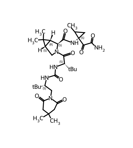 CC1C[C@@]1(NC(=O)[C@@H]1[C@@H]2[C@H](CN1C(=O)[C@@H](NC(=O)N[C@H](CN1C(=O)CC(C)(C)CC1=O)C(C)(C)C)C(C)(C)C)C2(C)C)C(=O)C(N)=O